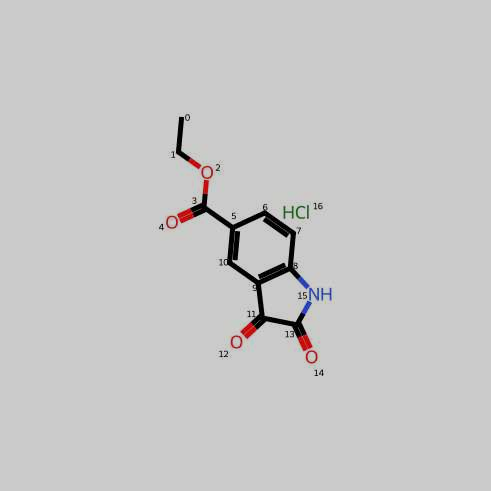 CCOC(=O)c1ccc2c(c1)C(=O)C(=O)N2.Cl